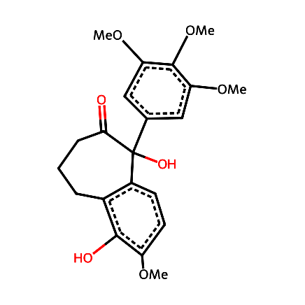 COc1ccc2c(c1O)CCCC(=O)C2(O)c1cc(OC)c(OC)c(OC)c1